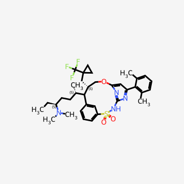 CC[C@@H](CC[C@H](C)C1c2cccc(c2)S(=O)(=O)Nc2nc(cc(-c3c(C)cccc3C)n2)OC[C@H]1CC1(C(F)(F)F)CC1)N(C)C